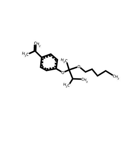 C=C(C)c1ccc(OC(C)(OCCCCC)C(C)C)cc1